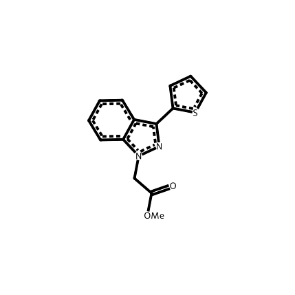 COC(=O)Cn1nc(-c2cccs2)c2ccccc21